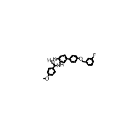 COc1ccc(C(=O)Nc2cc(-c3ccc(OCc4cccc(F)c4)cc3)ccc2N)cc1